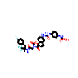 C[C@@](Cc1ccc(F)cc1)(NC(=O)CN1C(=O)O[C@@]2(CCc3cc(NC(=O)Nc4ccc(NC(=O)O)cc4)ccc32)C1=O)C(F)(F)F